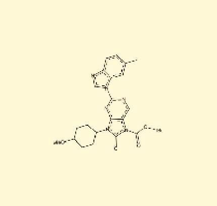 COC1CCC(n2c(=O)n(C(=O)OC(C)(C)C)c3cnc(-n4cnc5ccc(F)cc54)nc32)CC1